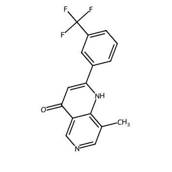 Cc1cncc2c(=O)cc(-c3cccc(C(F)(F)F)c3)[nH]c12